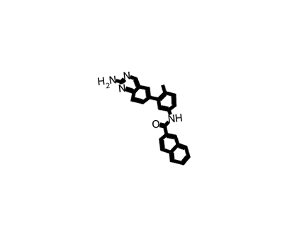 Cc1ccc(NC(=O)c2ccc3ccccc3c2)cc1-c1ccc2nc(N)ncc2c1